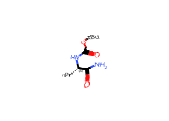 CCC[C@H](NC(=O)OC(C)(C)C)C(N)=O